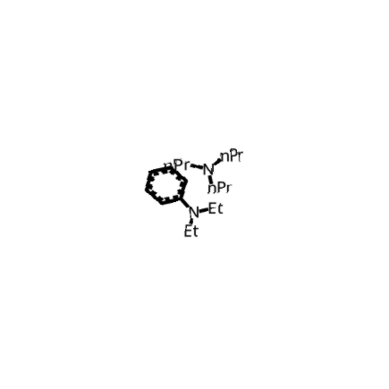 CCCN(CCC)CCC.CCN(CC)c1ccccc1